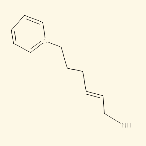 NCC=CCCC[n+]1ccccc1